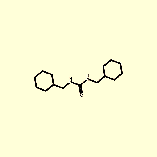 O=C(NCC1CCCCC1)NCC1CCCCC1